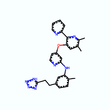 Cc1ccc(CCc2nnn[nH]2)cc1Nc1cc(Oc2cc(C)c(C)nc2-c2ccccn2)ccn1